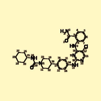 NC(=O)c1ccccc1Nc1nc(Nc2ccc(C3CCN(C(=O)NC4CCCCC4)CC3)cc2)ncc1Cl